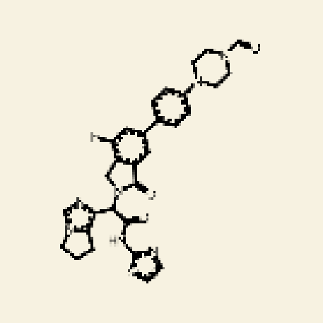 O=CN1CCN(c2ccc(-c3cc(F)c4c(c3)C(=O)N(C(C(=O)Nc3nccs3)c3ncn5c3CCC5)C4)cc2)CC1